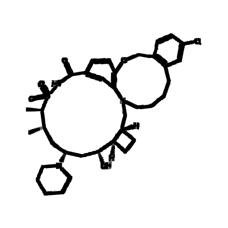 C[C@@H]1[C@@H](C)C[C@@H](N2CCCCC2)C[C@@H](O)[C@@H]2CC[C@H]2CN2CCCCc3cc(Cl)ccc3COc3ccc(cc32)C(=O)NS1(=O)=O